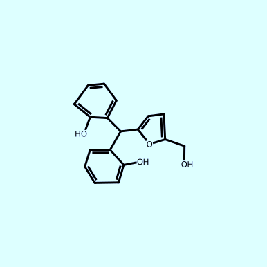 OCc1ccc(C(c2ccccc2O)c2ccccc2O)o1